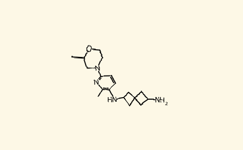 Cc1nc(N2CCOC(C)C2)ccc1NC1CC2(CC(N)C2)C1